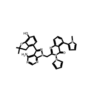 Cn1cccc1-c1cccc2nc(Cn3nc(-c4ccc(O)c5c4CC(C)(C)O5)c4c(N)ncnc43)n(-n3cccc3)c(=O)c12